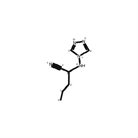 CCCC(C#N)Nn1cnnc1